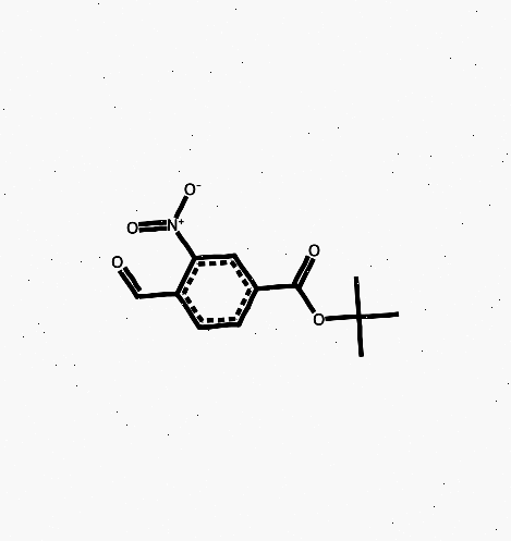 CC(C)(C)OC(=O)c1ccc(C=O)c([N+](=O)[O-])c1